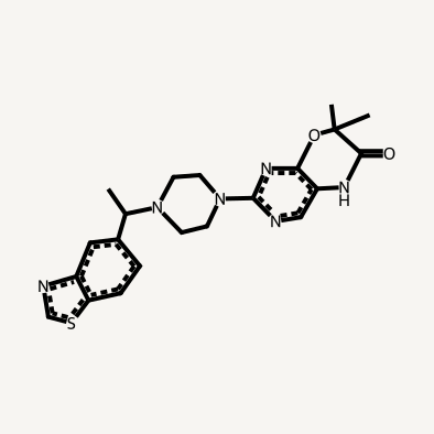 CC(c1ccc2scnc2c1)N1CCN(c2ncc3c(n2)OC(C)(C)C(=O)N3)CC1